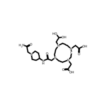 NC(=O)CN1CCC(NC(=O)CN2CCN(CC(=O)O)CCN(CC(=O)O)CCN(CC(O)O)CC2)CC1